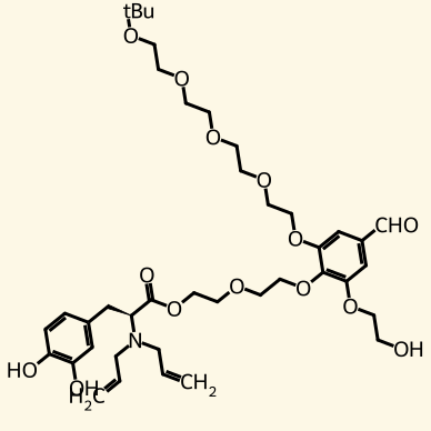 C=CCN(CC=C)[C@@H](Cc1ccc(O)c(O)c1)C(=O)OCCOCCOc1c(OCCO)cc(C=O)cc1OCCOCCOCCOCCOC(C)(C)C